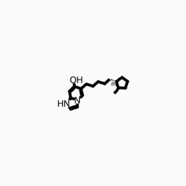 CC1CCC[C@H]1CCCCCC1=CN2C=CNC2C=C1O